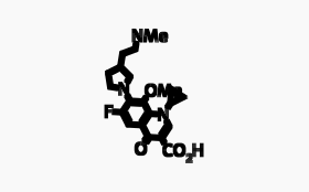 CNCCC1CCN(c2c(F)cc3c(=O)c(C(=O)O)cn(C4CC4)c3c2OC)C1